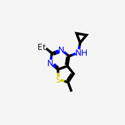 CCc1nc(NC2CC2)c2cc(C)sc2n1